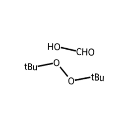 CC(C)(C)OOC(C)(C)C.O=CO